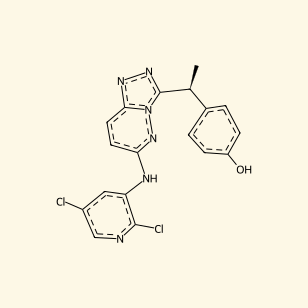 C[C@@H](c1ccc(O)cc1)c1nnc2ccc(Nc3cc(Cl)cnc3Cl)nn12